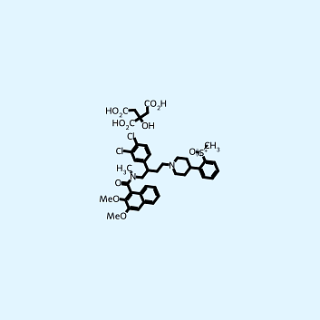 COc1cc2ccccc2c(C(=O)N(C)CC(CCN2CCC(c3ccccc3[S@+](C)[O-])CC2)c2ccc(Cl)c(Cl)c2)c1OC.O=C(O)CC(O)(CC(=O)O)C(=O)O